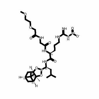 COCCOCC(=O)NCC(=O)N[C@@H](CCCNC(=N)N[N+](=O)[O-])C(=O)N[C@@H](CC(C)C)B1O[C@@H]2C[C@@H]3C[C@@H](C3(C)C)[C@]2(C)O1